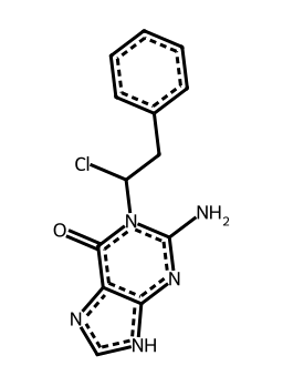 Nc1nc2[nH]cnc2c(=O)n1C(Cl)Cc1ccccc1